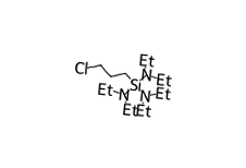 CCN(CC)[Si](CCCCl)(N(CC)CC)N(CC)CC